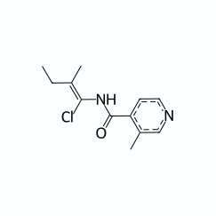 CC/C(C)=C(\Cl)NC(=O)c1ccncc1C